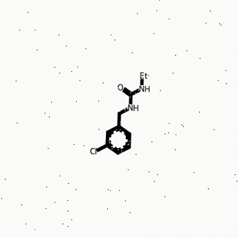 C[CH]NC(=O)NCc1cccc(Cl)c1